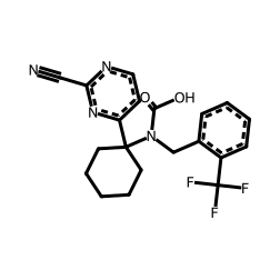 N#Cc1nccc(C2(N(Cc3ccccc3C(F)(F)F)C(=O)O)CCCCC2)n1